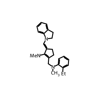 CCc1ccccc1N(C)CC1=C(NC)/C(=C/N2CCc3ccccc32)CC1